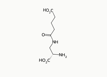 N[C@@H](CNC(=O)CCCC(=O)O)C(=O)O